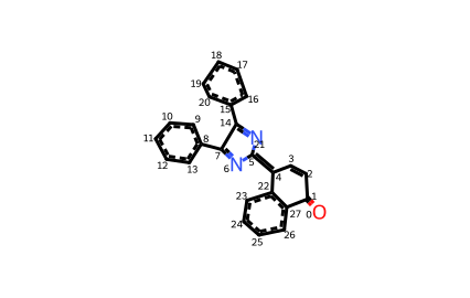 O=C1C=CC(=C2N=C(c3ccccc3)C(c3ccccc3)=N2)c2ccccc21